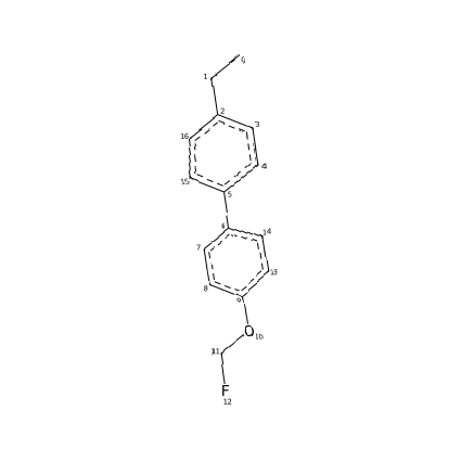 CCc1ccc(-c2ccc(OCF)cc2)cc1